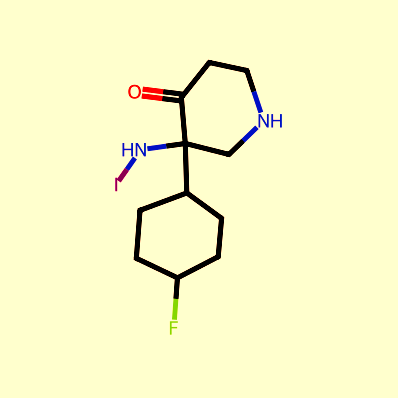 O=C1CCNCC1(NI)C1CCC(F)CC1